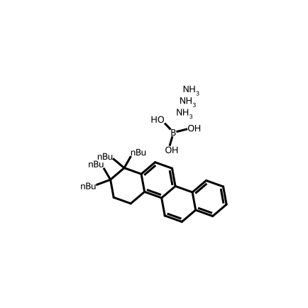 CCCCC1(CCCC)CCc2c(ccc3c2ccc2ccccc23)C1(CCCC)CCCC.N.N.N.OB(O)O